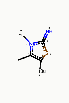 CCn1c(C)c(C(C)(C)C)sc1=N